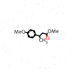 COC(=O)CC(C)c1ccc(OC)cc1